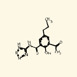 CCCc1cc(C(C)=O)c(O)c(C(=O)Nc2nnn[nH]2)c1